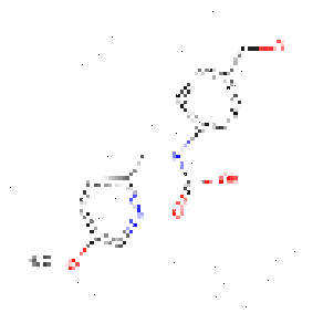 COc1ccc(CN(C(=O)O)c2ccc(C=O)cc2)nc1